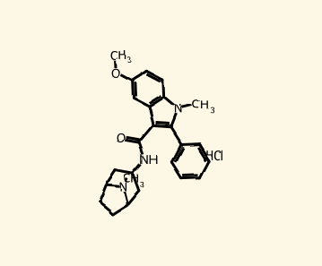 COc1ccc2c(c1)c(C(=O)NC1CC3CCC(C1)N3C)c(-c1ccccc1)n2C.Cl